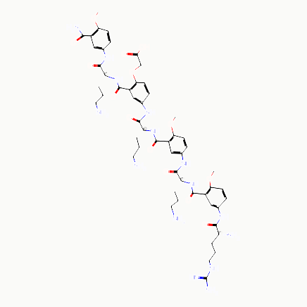 COc1ccc(NC(=O)[C@@H](CCCN)NC(=O)c2cc(NC(=O)[C@@H](CCCN)NC(=O)c3cc(NC(=O)[C@@H](CCCN)NC(=O)c4cc(NC(=O)[C@H](N)CCCNC(=N)N)ccc4OC)ccc3OC)ccc2OCC(=O)O)cc1C(N)=O